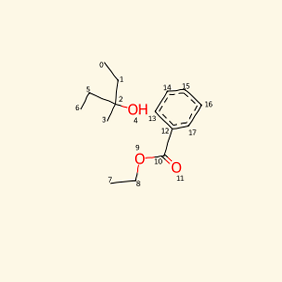 CCC(C)(O)CC.CCOC(=O)c1ccccc1